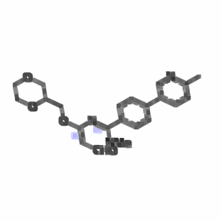 CN/C(=N\C(=C/C=O)OCC1COCCO1)c1ccc(-c2ccc(C)nc2)cc1